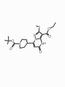 CCOC(=O)c1c(SC)nn2c(C3CCN(C(=O)OC(C)(C)C)CC3)cc(=O)[nH]c12